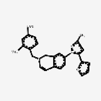 COc1ccc(CN2C=Cc3ccc(-n4nc(C(F)(F)F)cc4-c4ccco4)cc3C2)c(OC)c1